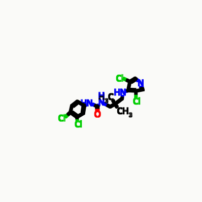 CC(C)(CNC(=O)Nc1ccc(Cl)c(Cl)c1)CNc1c(Cl)cncc1Cl